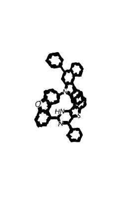 c1ccc(C2=NC(c3cccc4oc5ccc(-n6c7ccccc7c7c8ccccc8c(-c8ccccc8)cc76)cc5c34)Nc3c2sc2ccccc32)cc1